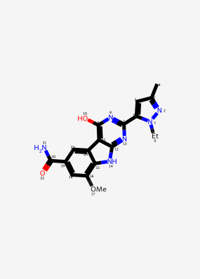 CCn1nc(C)cc1-c1nc(O)c2c(n1)[nH]c1c(OC)cc(C(N)=O)cc12